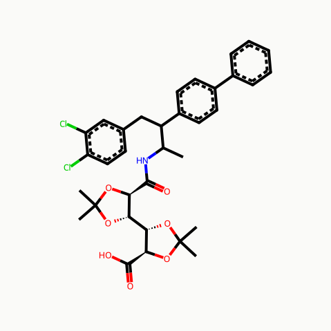 CC(NC(=O)[C@@H]1OC(C)(C)O[C@H]1[C@@H]1OC(C)(C)O[C@H]1C(=O)O)C(Cc1ccc(Cl)c(Cl)c1)c1ccc(-c2ccccc2)cc1